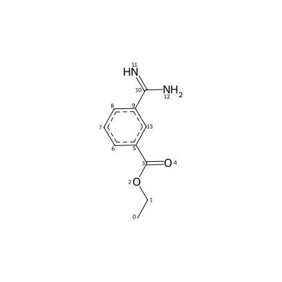 CCOC(=O)c1cccc(C(=N)N)c1